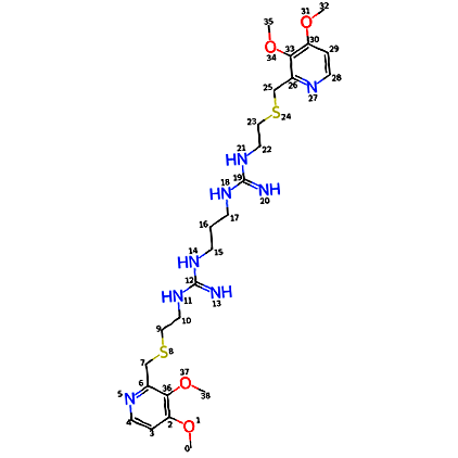 COc1ccnc(CSCCNC(=N)NCCCNC(=N)NCCSCc2nccc(OC)c2OC)c1OC